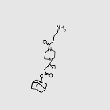 NCCCC(=O)N1CCN(C(=O)CC(=O)OC23CC4CC(CC(C4)C2)C3)CC1